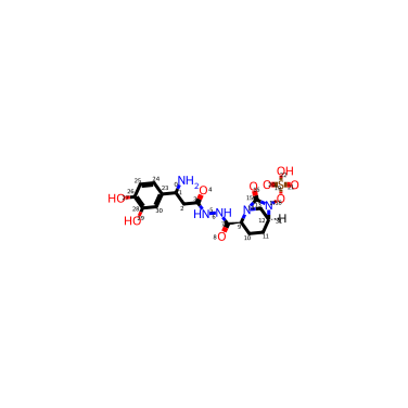 NC(CC(=O)NNC(=O)[C@@H]1CC[C@H]2CN1C(=O)N2OS(=O)(=O)O)c1ccc(O)c(O)c1